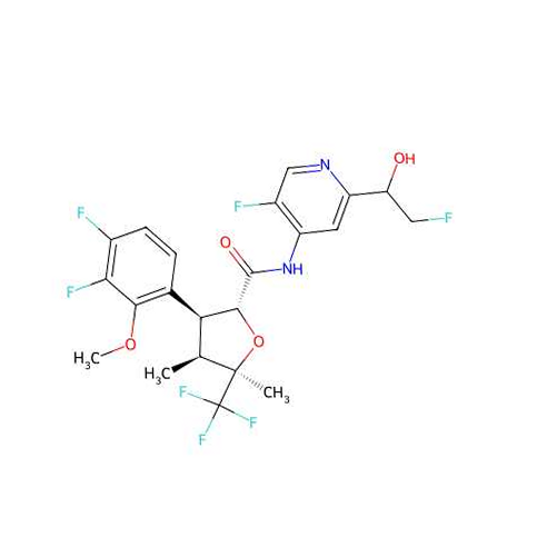 COc1c([C@H]2[C@H](C(=O)Nc3cc(C(O)CF)ncc3F)O[C@@](C)(C(F)(F)F)[C@H]2C)ccc(F)c1F